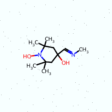 C/N=C/C1(O)CC(C)(C)N(O)C(C)(C)C1